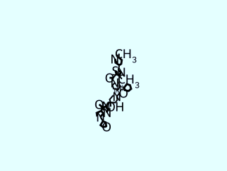 Cc1ccc(-c2nc(C)c(C(=O)N3CC[C@@H](C(=O)N4CCC(O)(Cn5cnc6c(ccn6-c6ccoc6)c5=O)CC4)[C@H](c4ccccc4)C3)s2)cn1